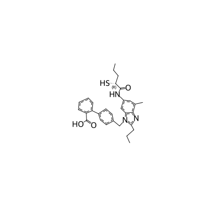 CCCc1nc2c(C)cc(NC(=O)[C@H](S)CCC)cc2n1Cc1ccc(-c2ccccc2C(=O)O)cc1